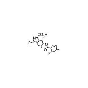 Cc1cc(F)c(C(=O)Oc2cc3c(C(=O)O)nn(C(C)C)c3cc2C)cn1